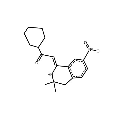 CC1(C)Cc2ccc([N+](=O)[O-])cc2/C(=C/C(=O)C2CCCCC2)N1